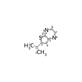 CC(C)c1cc2nccnc2s1